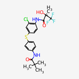 CC(C)(C)C(=O)Nc1ccc(Sc2ccc(NC(=O)[C@@](C)(O)C(F)(F)F)c(Cl)c2)cc1